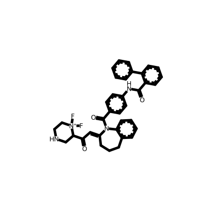 O=C(Nc1ccc(C(=O)N2C(=CC(=O)C3CNCC[N+]3(F)F)CCCc3ccccc32)cc1)c1ccccc1-c1ccccc1